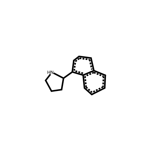 c1ccc2c(C3CCCN3)cccc2c1